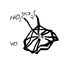 Cl.O=C(O)[C]12[CH]3[CH]4[CH]5[CH]1[Fe]45321678[CH]2[CH]1[CH]6[C]7(C(=O)O)[CH]28